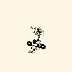 CCC(NC(=O)COC(=O)[C@@H]1CCCN1C(=O)C(Cc1ccccc1)[C@@H](CSc1ccccc1)NC(=O)OC(C)(C)C)[C@H](C)C(=O)NC